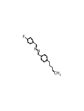 C=CCCCc1ccc(C=NN=Cc2ccc(F)cc2)cc1